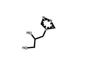 OCC(O)Cn1[c]nnc1